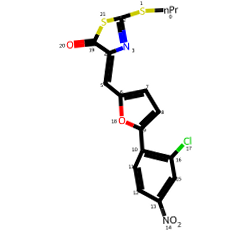 CCCSC1=N/C(=C\c2ccc(-c3ccc([N+](=O)[O-])cc3Cl)o2)C(=O)S1